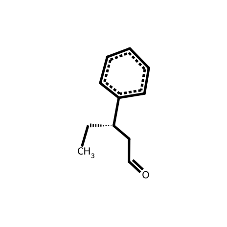 CC[C@@H](CC=O)c1ccccc1